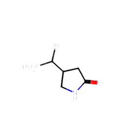 CCC(C(=O)O)C1CNC(=O)C1